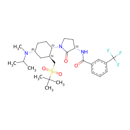 CC(C)N(C)[C@@H]1CC[C@H](N2CC[C@H](NC(=O)c3cccc(C(F)(F)F)c3)C2=O)[C@@H](CS(=O)(=O)C(C)(C)C)C1